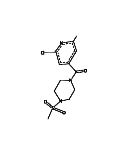 Cc1cc(C(=O)N2CCN(S(C)(=O)=O)CC2)cc(Cl)n1